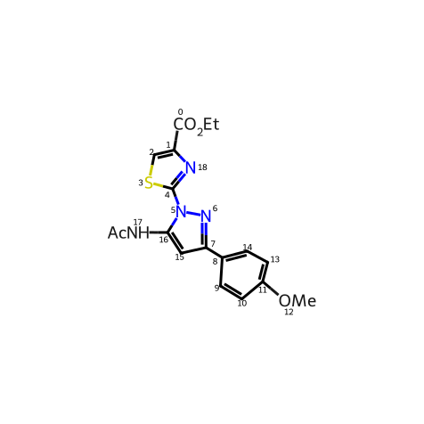 CCOC(=O)c1csc(-n2nc(-c3ccc(OC)cc3)cc2NC(C)=O)n1